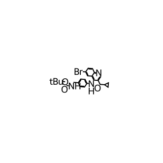 CC(C)(C)OC(=O)NCc1ccc(Nc2c(C(=O)C3CC3)cnc3ccc(Br)cc23)cc1